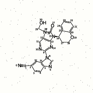 N#Cc1ccc2ncn(-c3ncc4c(n3)n([C@@H]3CCOc5ccccc53)c(=O)n4CO)c2c1